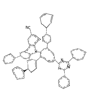 N#Cc1ccc2c(c1)c1cc(-c3ccccc3)ccc1n2-c1c(C2=CC[C@@H](c3ccccc3)C=C2)cc(-c2nc(-c3ccccc3)nc(-c3ccccc3)n2)cc1-c1ccc(C2C=CC=CC2)cc1